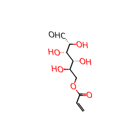 C=CC(=O)OC[C@@H](O)[C@@H](O)[C@H](O)[C@@H](O)C=O